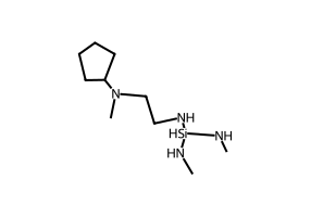 CN[SiH](NC)NCCN(C)C1CCCC1